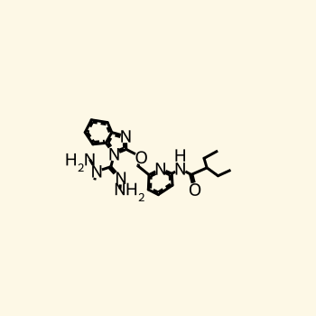 CCC(CC)C(=O)Nc1cccc(COc2nc3ccccc3n2/C(=N/N)N(C)N)n1